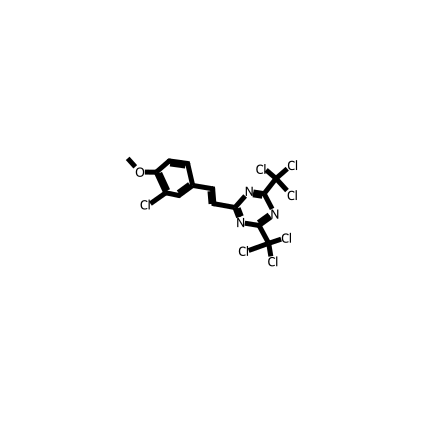 COc1ccc(/C=C/c2nc(C(Cl)(Cl)Cl)nc(C(Cl)(Cl)Cl)n2)cc1Cl